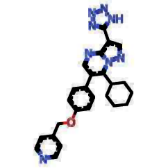 c1cc(COc2ccc(-c3cnc4c(-c5nnn[nH]5)cnn4c3C3CCCCC3)cc2)ccn1